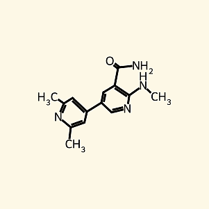 CNc1ncc(-c2cc(C)nc(C)c2)cc1C(N)=O